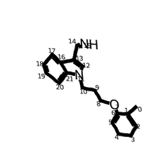 CC1=CCCC=C1OCCCn1cc(C=N)c2ccccc21